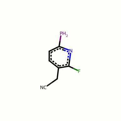 N#CCc1ccc(P)nc1F